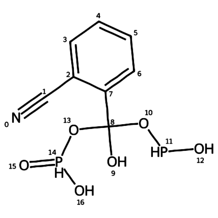 N#Cc1ccccc1C(O)(OPO)O[PH](=O)O